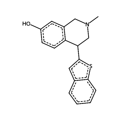 CN1Cc2cc(O)ccc2C(c2cc3ccccc3s2)C1